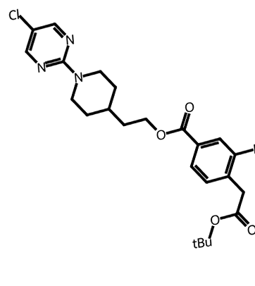 CC(C)(C)OC(=O)Cc1ccc(C(=O)OCCC2CCN(c3ncc(Cl)cn3)CC2)cc1F